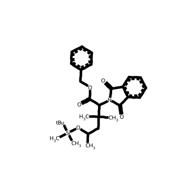 CC(CC(C)(C)C(C(=O)OCc1ccccc1)N1C(=O)c2ccccc2C1=O)O[Si](C)(C)C(C)(C)C